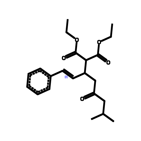 CCOC(=O)C(C(=O)OCC)C(/C=C/c1ccccc1)CC(=O)CC(C)C